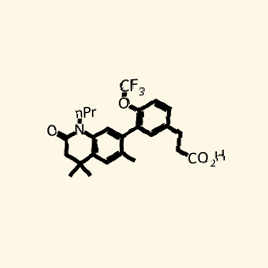 CCCN1C(=O)CC(C)(C)c2cc(C)c(-c3cc(CCC(=O)O)ccc3OC(F)(F)F)cc21